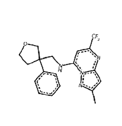 Cc1cc2nc(C(F)(F)F)cc(NCC3(c4ccccc4)CCOC3)n2n1